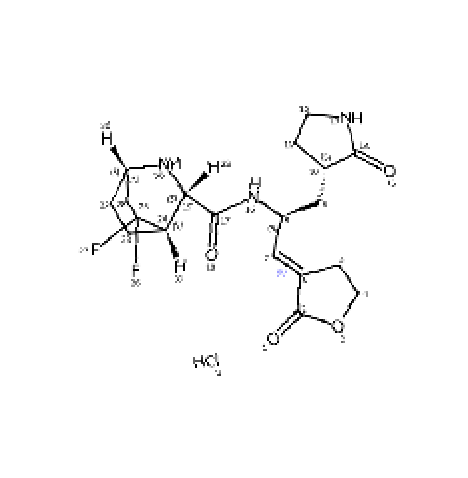 Cl.O=C1OCC/C1=C\[C@H](C[C@@H]1CCNC1=O)NC(=O)[C@H]1N[C@H]2CC[C@@H]1C(F)(F)C2